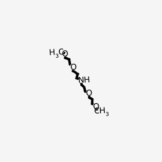 COCCCOCCCNCCCOCCCOC